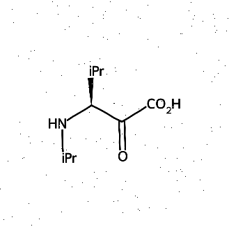 CC(C)N[C@H](C(=O)C(=O)O)C(C)C